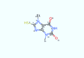 CCn1c(S)nc2c1c(=O)[nH]c(=O)n2C